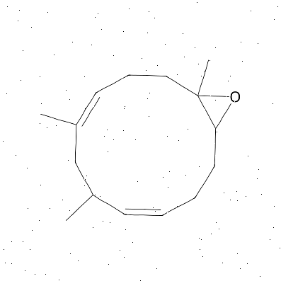 C/C1=C/CCC2(C)OC2CC/C=C\C(C)C1